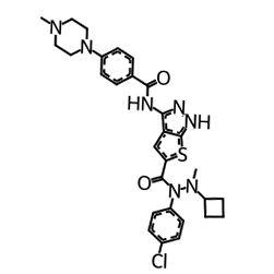 CN1CCN(c2ccc(C(=O)Nc3n[nH]c4sc(C(=O)N(c5ccc(Cl)cc5)N(C)C5CCC5)cc34)cc2)CC1